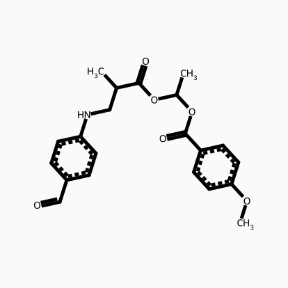 COc1ccc(C(=O)OC(C)OC(=O)C(C)CNc2ccc(C=O)cc2)cc1